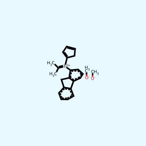 C[C](C)=[Ti+2]([C]1=CC=CC1)[c]1cccc2c1Cc1ccccc1-2.C[O-].C[O-]